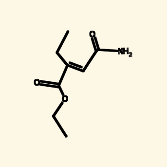 CCOC(=O)C(=CC(N)=O)CC